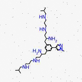 CC(C)CNCCCNCCC(N)Cc1cc(CC(N)CCNCCCNCC(C)C)cc(-c2cnn(C)c2)c1